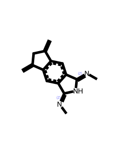 C=C1CC(=C)c2cc3c(cc21)/C(=N/C)N/C3=N\C